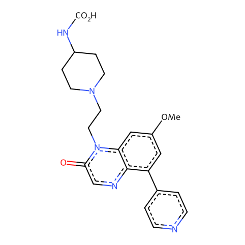 COc1cc(-c2ccncc2)c2ncc(=O)n(CCN3CCC(NC(=O)O)CC3)c2c1